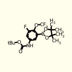 CC(C)(C)OC(=O)Nc1cc(F)c(OC(F)(F)F)c(B2OC(C)(C)C(C)(C)O2)c1